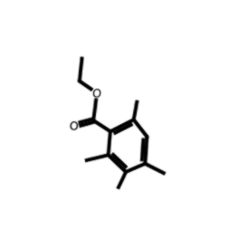 CCOC(=O)c1c(C)cc(C)c(C)c1C